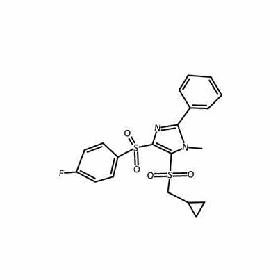 Cn1c(-c2ccccc2)nc(S(=O)(=O)c2ccc(F)cc2)c1S(=O)(=O)CC1CC1